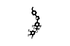 CCc1ccc(-c2ccc(-c3cc(F)c(C(F)(F)Oc4cc(F)c(F)c(F)c4)c(F)c3)s2)cc1